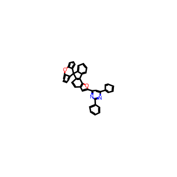 c1ccc(-c2cc(-c3cc4ccc5c(c4o3)-c3ccccc3C53c4ccccc4Oc4ccccc43)nc(-c3ccccc3)n2)cc1